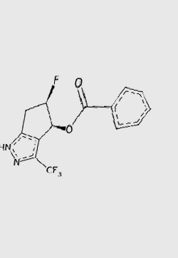 O=C(O[C@H]1c2c(C(F)(F)F)n[nH]c2C[C@H]1F)c1ccccc1